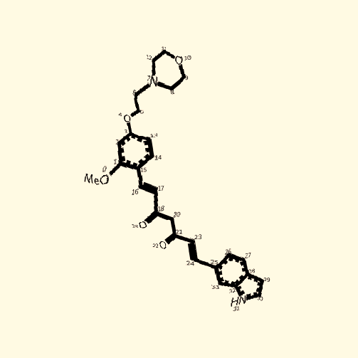 COc1cc(OCCN2CCOCC2)ccc1C=CC(=O)CC(=O)C=Cc1ccc2cc[nH]c2c1